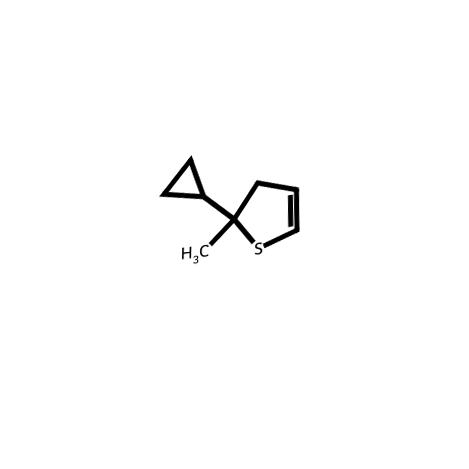 CC1(C2CC2)CC=CS1